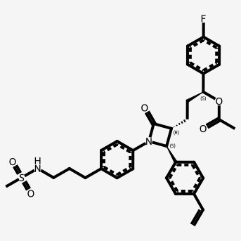 C=Cc1ccc([C@@H]2[C@@H](CC[C@H](OC(C)=O)c3ccc(F)cc3)C(=O)N2c2ccc(CCCNS(C)(=O)=O)cc2)cc1